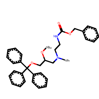 CCCCOC(COC(c1ccccc1)(c1ccccc1)c1ccccc1)CN(CCC)CCNC(=O)OCc1ccccc1